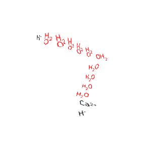 O.O.O.O.O.O.O.O.O.O.[Ca+2].[H-].[H-]